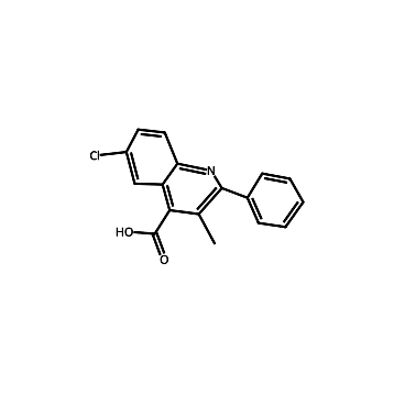 Cc1c(-c2ccccc2)nc2ccc(Cl)cc2c1C(=O)O